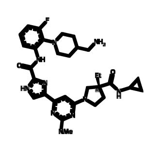 CC[C@@]1(C(=O)NC2CC2)CCN(c2cc(-c3c[nH]c(C(=O)Nc4cccc(F)c4N4CCC(CN)CC4)n3)nc(NC)n2)C1